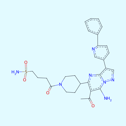 CC(=O)c1c(C2CCN(C(=O)CCCS(N)(=O)=O)CC2)nc2c(-c3ccc(-c4ccccc4)nc3)cnn2c1N